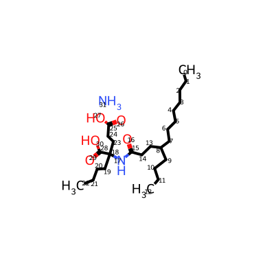 CCCCCCCCC(CCCC)CCC(=O)NC(CCCC)(CCC(=O)O)C(=O)O.N